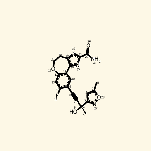 Cc1cc([C@](C)(O)C#Cc2cc3c(cc2F)OCCc2sc(C(N)=O)nc2-3)no1